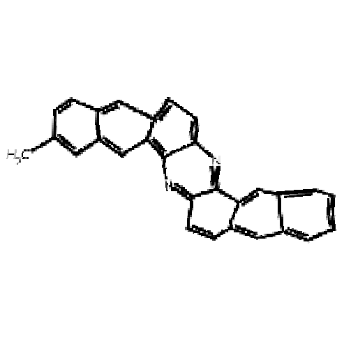 Cc1ccc2cc3ccc4nc5c(ccc6cc7ccccc7cc65)nc4c3cc2c1